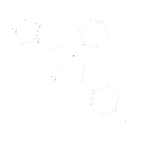 N#CC(CCc1ccc(Cl)cc1)(CCn1cncn1)c1ccccc1